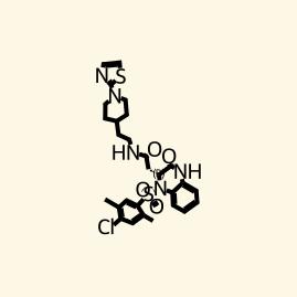 Cc1cc(S(=O)(=O)N2c3ccccc3NC(=O)[C@H]2CC(=O)NCCC2CCN(c3nccs3)CC2)c(C)cc1Cl